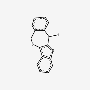 IC1c2ccccc2CSc2c1sc1ccccc21